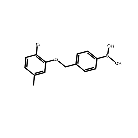 Cc1ccc(Cl)c(OCc2ccc(B(O)O)cc2)c1